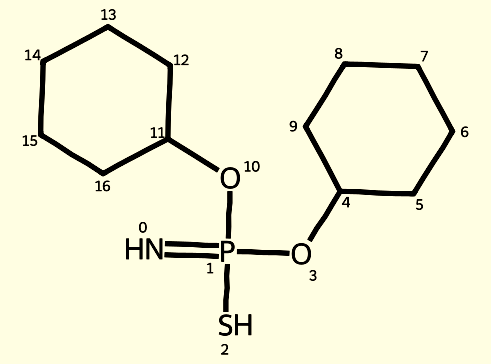 N=P(S)(OC1CCCCC1)OC1CCCCC1